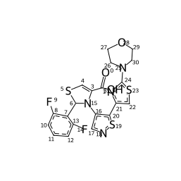 O=C(O)C1=CSC(c2c(F)cccc2F)N1c1cnsc1-c1csc(N2CCOCC2)n1